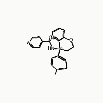 Cc1ccc([C@@]2(NC(=O)c3ccncc3)CCOc3cccnc32)cc1